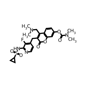 CN(C)Cc1c(Cc2ccnc(NS(=O)(=O)C3CC3)c2F)c(=O)oc2cc(OC(=O)N(C)C)ccc12